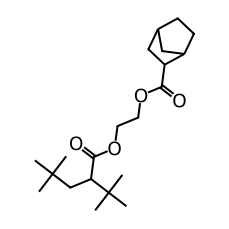 CC(C)(C)CC(C(=O)OCCOC(=O)C1CC2CCC1C2)C(C)(C)C